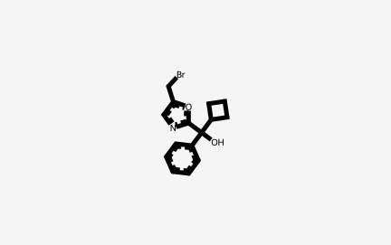 OC(c1ccccc1)(c1ncc(CBr)o1)C1CCC1